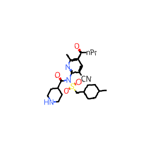 CCCC(=O)c1cc(C#N)c(N(C(=O)C2CCNCC2)S(=O)(=O)CC2CCC(C)CC2)nc1C